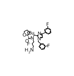 CC(C)(C)[C@H](c1nc(-c2cccc(F)c2)cn1Cc1cccc(F)c1)N(C[C@@H](F)CN)C(=O)[C@@H]1CCCO1